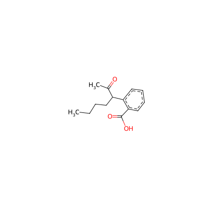 CCCCC(C(C)=O)c1ccccc1C(=O)O